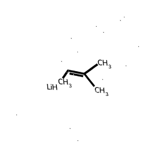 CC=C(C)C.[LiH]